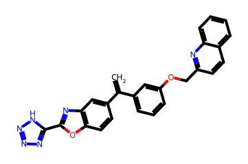 C=C(c1cccc(OCc2ccc3ccccc3n2)c1)c1ccc2oc(-c3nnn[nH]3)nc2c1